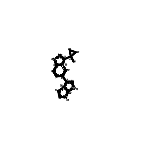 CC1(c2nnc3ccc(-c4coc5nccn45)cn23)CC1